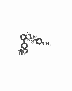 Cc1ccc(S(=O)(=O)c2cnc3cccc(C4CCC5(CCNN5)CC4)c3n2)cc1